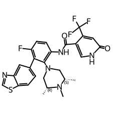 C[C@@H]1CN(c2c(NC(=O)c3c[nH]c(=O)cc3C(F)(F)F)ccc(F)c2-c2ccc3scnc3c2)C[C@H](C)N1C